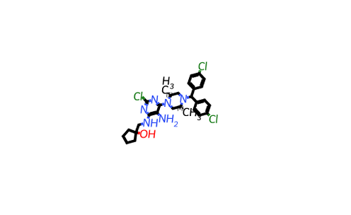 C[C@@H]1CN(c2nc(Cl)nc(NCC3(O)CCCC3)c2N)[C@@H](C)CN1C(c1ccc(Cl)cc1)c1ccc(Cl)cc1